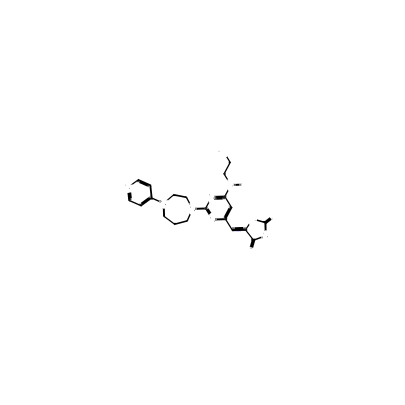 CN(CCO)c1cc(/C=C2\SC(=O)NC2=O)nc(N2CCCN(c3ccncc3)CC2)n1